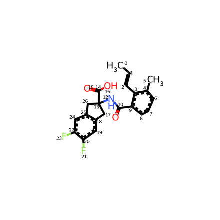 C/C=C/c1c(C)cccc1C(=O)NC1(C(=O)O)Cc2cc(F)c(F)cc2C1